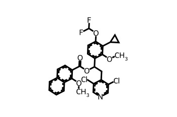 COc1c(C(Cc2c(Cl)cncc2Cl)OC(=O)c2ccc3ccccc3c2OC)ccc(OC(F)F)c1C1CC1